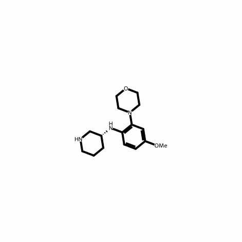 COc1ccc(N[C@@H]2CCCNC2)c(N2CCOCC2)c1